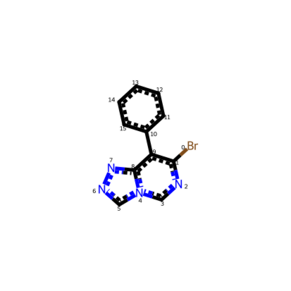 Brc1ncn2cnnc2c1-c1ccccc1